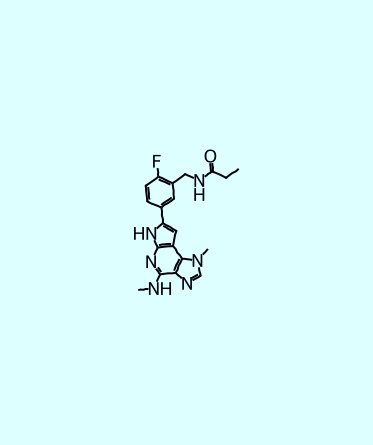 CCC(=O)NCc1cc(-c2cc3c(nc(NC)c4ncn(C)c43)[nH]2)ccc1F